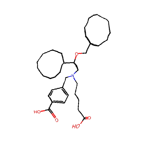 O=C(O)CCCCN(Cc1ccc(C(=O)O)cc1)CC(OCC1CCCCCCCC1)C1CCCCCCCC1